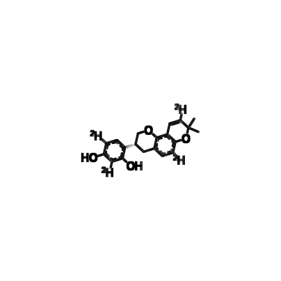 [2H]C1=Cc2c(c([2H])cc3c2OC[C@@H](c2cc([2H])c(O)c([2H])c2O)C3)OC1(C)C